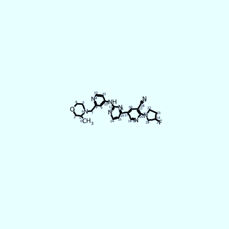 CC1COCCN1Cc1cc(Nc2nccc(-c3cnc(N4CCC(F)C4)c(C#N)c3)n2)ccn1